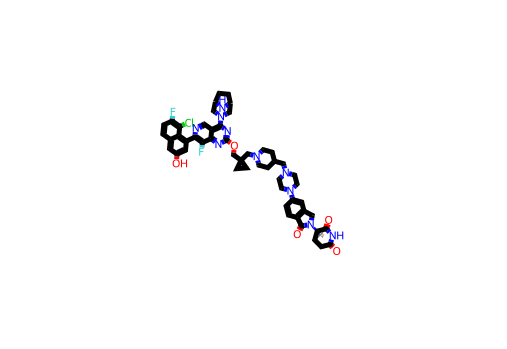 O=C1CC[C@@H](N2Cc3cc(N4CCN(CC5CCN(CC6(COc7nc(N8CC9CCC(C8)N9)c8cnc(-c9cc(O)cc%10ccc(F)c(Cl)c9%10)c(F)c8n7)CC6)CC5)CC4)ccc3C2=O)C(=O)N1